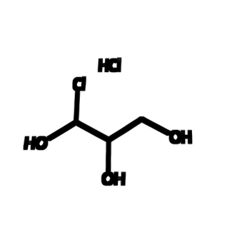 Cl.OCC(O)C(O)Cl